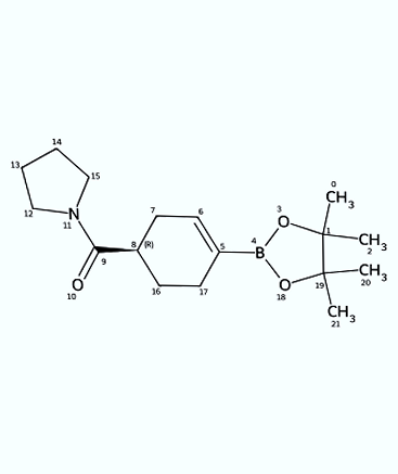 CC1(C)OB(C2=CC[C@H](C(=O)N3CCCC3)CC2)OC1(C)C